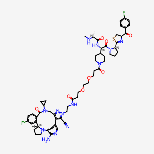 CN[C@H](C)C(=O)N[C@@H](C(=O)N1CCC[C@@H]1C1=NC(C(=O)c2ccc(F)cc2)CS1)C1CCN(C(=O)CCOCCOCCC(=O)NCCn2nc3c(c2C#N)-c2cnc(N)c(c2)N2CCC[C@@H]2c2cc(F)ccc2C(=O)N(C2CC2)C3)CC1